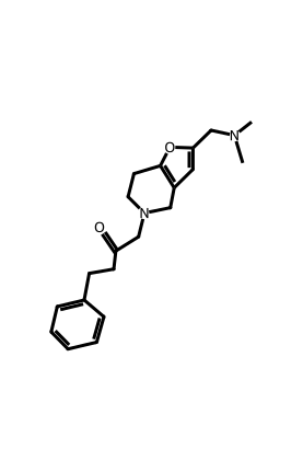 CN(C)Cc1cc2c(o1)CCN(CC(=O)CCc1ccccc1)C2